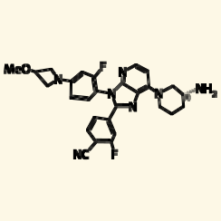 COC1CN(c2ccc(-n3c(-c4ccc(C#N)c(F)c4)nc4c(N5CCC[C@@H](N)C5)ccnc43)c(F)c2)C1